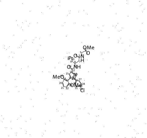 COC(=O)CNC(=O)CC(CC(C)C)NC(=O)c1cc(-c2c(OC)cccc2OC)n(-c2ccc(Cl)cc2)n1